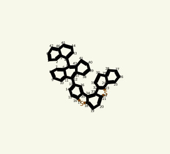 c1ccc2c(-c3c4ccccc4c(-c4ccc5sc6ccc7sc8c9ccccc9ccc8c7c6c5c4)c4ccccc34)cccc2c1